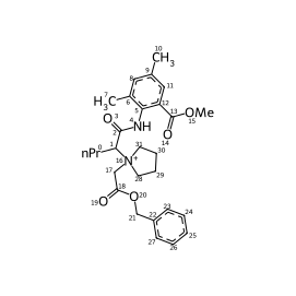 CCCC(C(=O)Nc1c(C)cc(C)cc1C(=O)OC)[N+]1(CC(=O)OCc2ccccc2)CCCC1